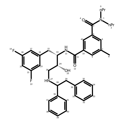 CCCN(CCC)C(=O)c1cc(C)cc(C(=O)N[C@@H](Cc2cc(F)cc(F)c2)[C@H](O)CNC(Cc2ccccc2)c2ccccc2)c1